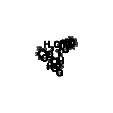 CCCCC(C)[C@@H](/C=C/[C@@H]1[C@H]2CC(=O)O[C@H]2C[C@H]1OC1CCCCO1)OC1CCCCO1